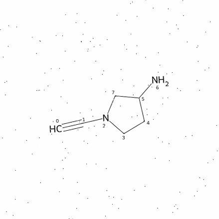 C#CN1CCC(N)C1